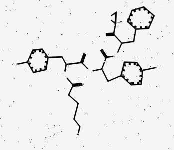 CCCCCC(=O)NC(Cc1ccc(N)cc1)C(=O)NC(Cc1ccc(N)cc1)C(=O)NC(Cc1ccccc1)C(=O)[C@@]1(C)CO1